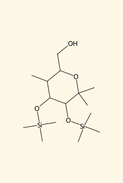 CC1C(CO)OC(C)(C)C(O[Si](C)(C)C)C1O[Si](C)(C)C